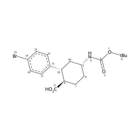 CC(C)(C)OC(=O)N[C@@H]1CC[C@@H](C(=O)O)[C@H](c2ccc(Br)cc2)C1